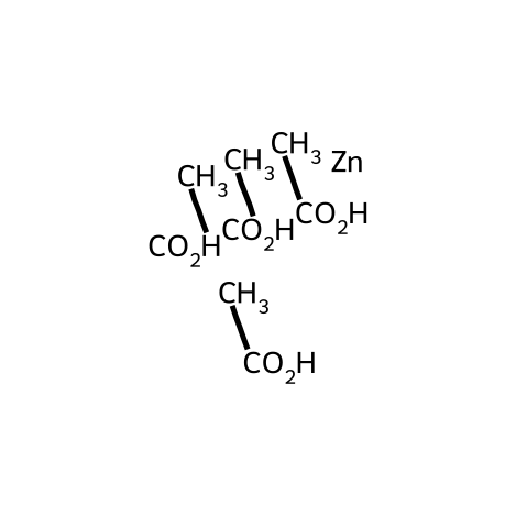 CC(=O)O.CC(=O)O.CC(=O)O.CC(=O)O.[Zn]